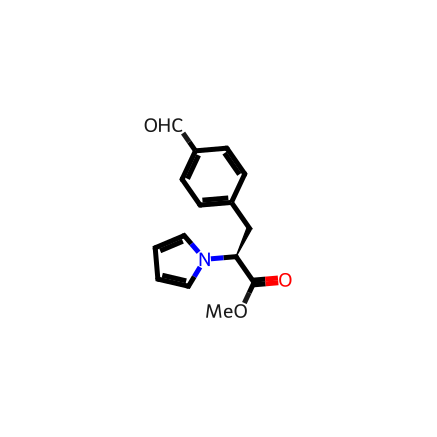 COC(=O)[C@H](Cc1ccc(C=O)cc1)n1cccc1